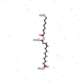 CCCCCCCCCCCCCCCCCC(=O)OC(C/C=C\CCCCCCCC(=O)OC)CCCCCC